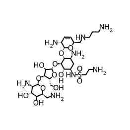 NCCCNC[C@@H]1C=C[C@@H](N)[C@@H](O[C@H]2[C@H](O[C@@H]3O[C@H](CO)[C@@H](O[C@H]4O[C@@H](CN)[C@@H](O)[C@H](O)[C@H]4N)[C@H]3O)[C@@H](O)[C@H](NS(=O)(=O)CCN)C[C@@H]2N)O1